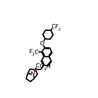 O=C(O)C1CC2CCC(C1)N2CCc1ccc2ccc(OC3CCC(C(F)(F)F)CC3)c(C(F)(F)F)c2c1